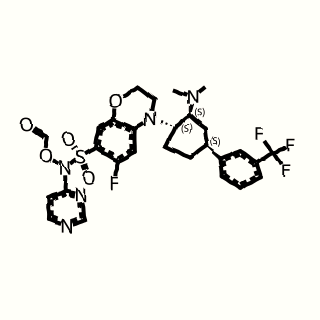 CN(C)[C@H]1C[C@@H](c2cccc(C(F)(F)F)c2)CC[C@@H]1N1CCOc2cc(S(=O)(=O)N(OC=O)c3ccncn3)c(F)cc21